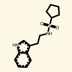 O=S(=O)(NCCc1c[nH]c2ccccc12)C1CCCC1